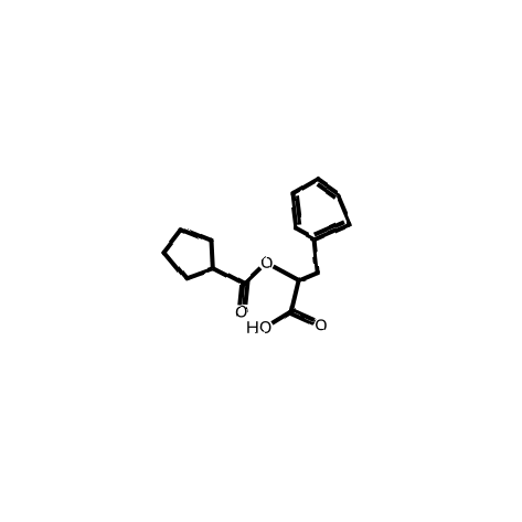 O=C(OC(Cc1ccccc1)C(=O)O)C1CCCC1